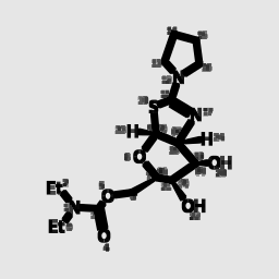 CCN(CC)C(=O)OC[C@H]1O[C@@H]2SC(N3CCCC3)=N[C@@H]2[C@@H](O)[C@H]1O